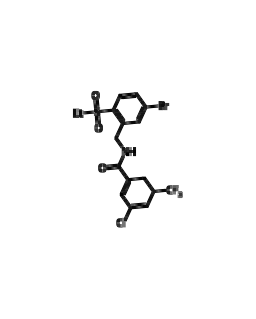 CCS(=O)(=O)c1ccc(Br)cc1CNC(=O)C1=CC(Cl)=CC(C(F)(F)F)C1